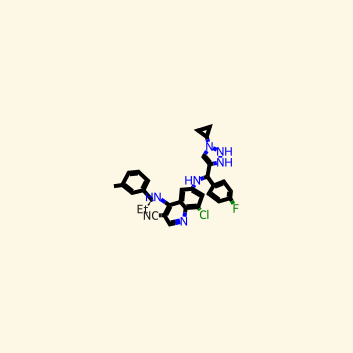 CC[C@@H](Nc1c(C#N)cnc2c(Cl)cc(NC(C3=CN(C4CC4)NN3)c3ccc(F)cc3)cc12)c1cccc(C)c1